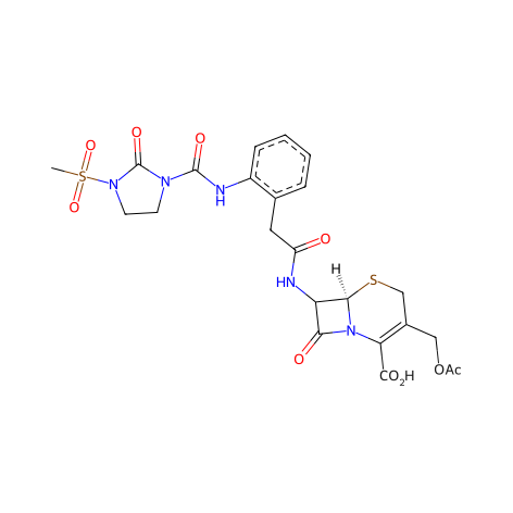 CC(=O)OCC1=C(C(=O)O)N2C(=O)C(NC(=O)Cc3ccccc3NC(=O)N3CCN(S(C)(=O)=O)C3=O)[C@H]2SC1